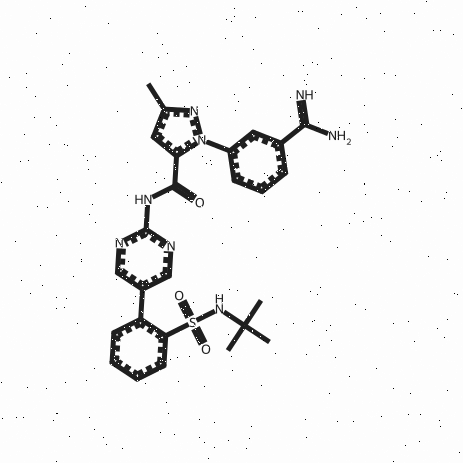 Cc1cc(C(=O)Nc2ncc(-c3ccccc3S(=O)(=O)NC(C)(C)C)cn2)n(-c2cccc(C(=N)N)c2)n1